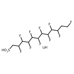 O=S(=O)(O)CC(F)C(F)C(F)C(F)C(F)C(F)C(F)C(F)C(F)CCF.[LiH]